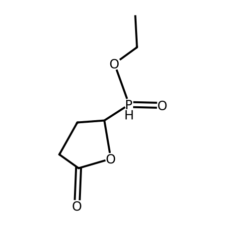 CCO[PH](=O)C1CCC(=O)O1